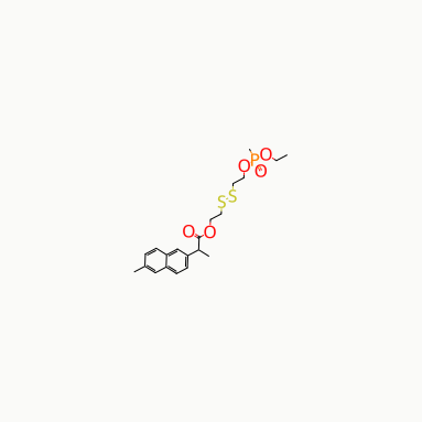 CCOP(C)(=O)OCCSSCCOC(=O)C(C)c1ccc2cc(C)ccc2c1